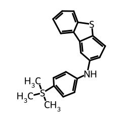 CS(C)(C)c1ccc(Nc2ccc3sc4ccccc4c3c2)cc1